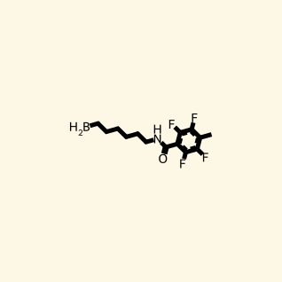 BCCCCCCNC(=O)c1c(F)c(F)c(C)c(F)c1F